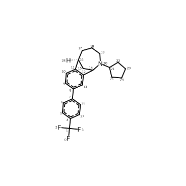 FC(F)(F)c1ccc(-c2ccc3c(c2)C2C[C@@H]3CCCN2C2CCCC2)cc1